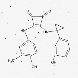 Cc1cc(Nc2c(NC3(c4cccc(O)c4)CC3)c(=O)c2=O)ccc1O